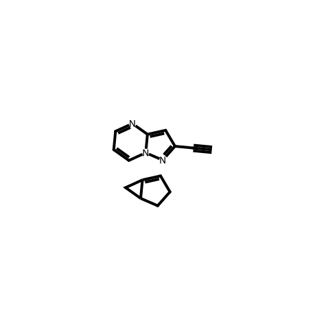 C#Cc1cc2ncccn2n1.C1=C2CC2CC1